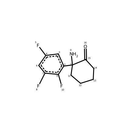 NC1(c2cc(F)cc(F)c2F)CCCCC1=O